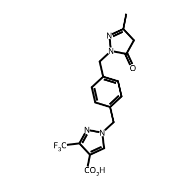 CC1=NN(Cc2ccc(Cn3cc(C(=O)O)c(C(F)(F)F)n3)cc2)C(=O)C1